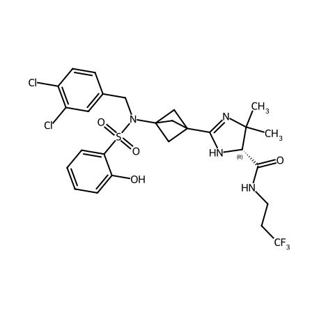 CC1(C)N=C(C23CC(N(Cc4ccc(Cl)c(Cl)c4)S(=O)(=O)c4ccccc4O)(C2)C3)N[C@H]1C(=O)NCCC(F)(F)F